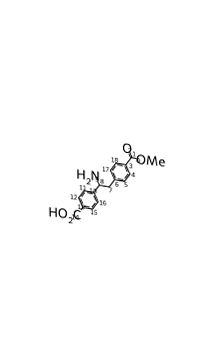 COC(=O)c1ccc(CC(N)c2ccc(C(=O)O)cc2)cc1